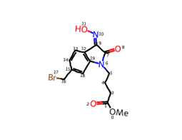 COC(=O)CCCN1C(=O)/C(=N/O)c2ccc(CBr)cc21